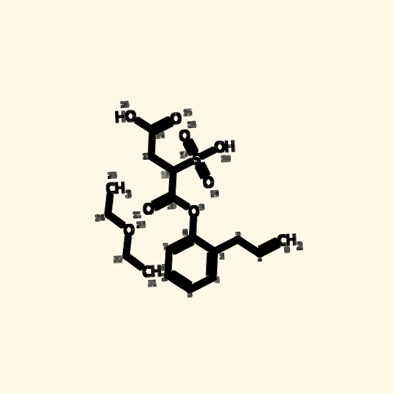 C=CCc1ccccc1OC(=O)C(CC(=O)O)S(=O)(=O)O.CCOCC